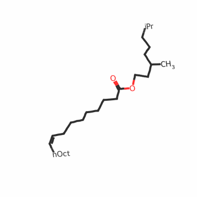 CCCCCCCC/C=C\CCCCCCCC(=O)OCCC(C)CCCC(C)C